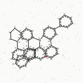 c1ccc(-c2ccc(N(c3ccccc3-c3cccc4cccc(C5CCCCC5)c34)c3cccc4c3sc3ccccc34)c(-c3ccccc3)c2)cc1